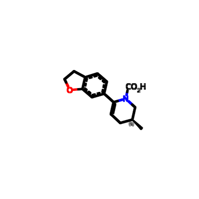 C[C@H]1CC=C(c2ccc3c(c2)OCC3)N(C(=O)O)C1